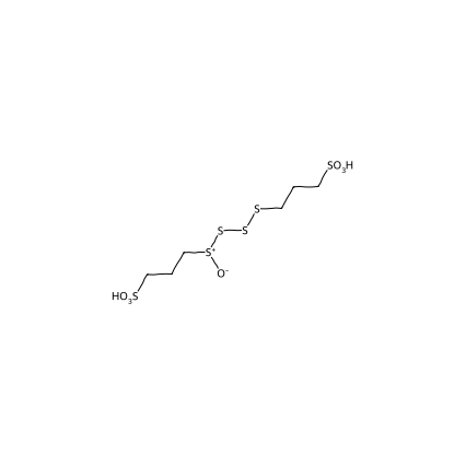 O=S(=O)(O)CCCSSS[S+]([O-])CCCS(=O)(=O)O